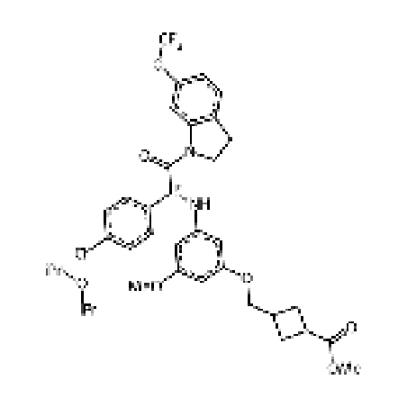 CC(C)OC(C)C.COC(=O)C1CC(COc2cc(N[C@@H](C(=O)N3CCc4ccc(OC(F)(F)F)cc43)c3ccc(Cl)cc3)cc(OC)c2)C1